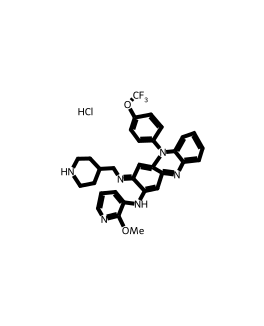 COc1ncccc1Nc1cc2nc3ccccc3n(-c3ccc(OC(F)(F)F)cc3)c-2cc1=NCC1CCNCC1.Cl